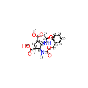 COC(=O)[C@@H]1C[C@](C)(C(=O)O)[C@H](N(C)C(=O)OCc2ccccc2)[C@@H]1NC(C)=O